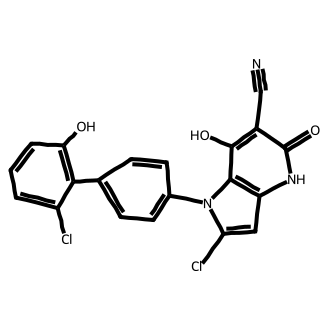 N#Cc1c(O)c2c(cc(Cl)n2-c2ccc(-c3c(O)cccc3Cl)cc2)[nH]c1=O